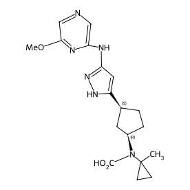 COc1cncc(Nc2cc([C@H]3CC[C@@H](N(C(=O)O)C4(C)CC4)C3)[nH]n2)n1